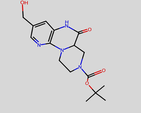 CC(C)(C)OC(=O)N1CCN2c3ncc(CO)cc3NC(=O)C2C1